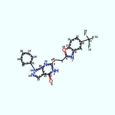 O=c1[nH]c(SCc2nc3cc(C(F)(F)F)ccc3o2)nc2c1cnn2-c1ccccc1